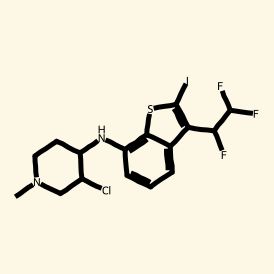 CN1CCC(Nc2cccc3c(C(F)C(F)F)c(I)sc23)C(Cl)C1